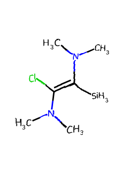 CN(C)C([SiH3])=C(Cl)N(C)C